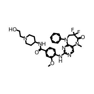 COc1cc(C(=O)NC2CCN(CCO)CC2)ccc1Nc1ncc2c(n1)N(c1ccccc1)CC(F)(F)C(=O)N2C